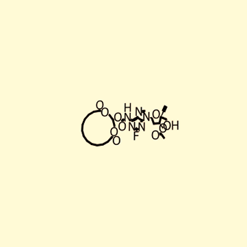 C#C[C@]1(CO)O[C@@H](n2cnc3c(NC(=O)OC4COC(=O)CCCCCCCCCCCC(=O)OC4)nc(F)nc32)C[C@@H]1OC(C)=O